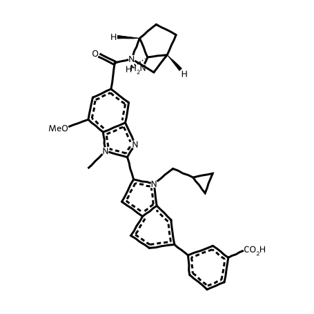 COc1cc(C(=O)N2C[C@H]3CC[C@@H]2[C@@H]3N)cc2nc(-c3cc4ccc(-c5cccc(C(=O)O)c5)cc4n3CC3CC3)n(C)c12